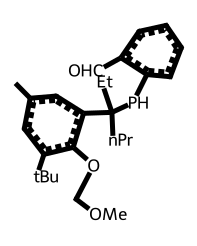 CCCC(CC)(Pc1ccccc1C=O)c1cc(C)cc(C(C)(C)C)c1OCOC